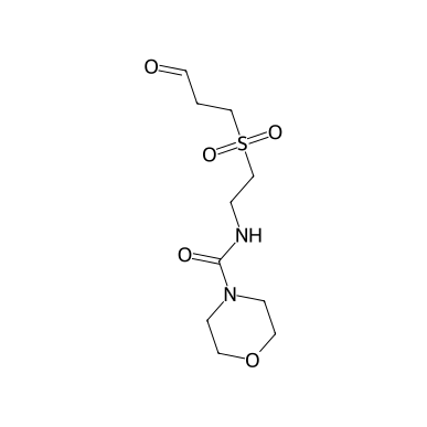 O=CCCS(=O)(=O)CCNC(=O)N1CCOCC1